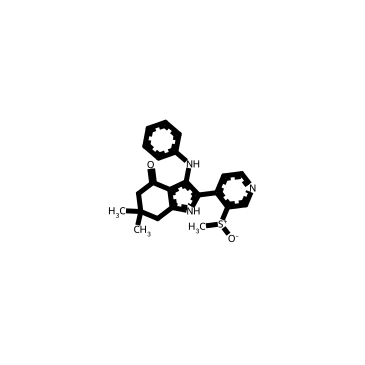 C[S+]([O-])c1cnccc1-c1[nH]c2c(c1Nc1ccccc1)C(=O)CC(C)(C)C2